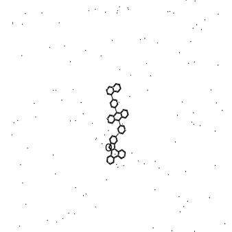 c1cc(-c2ccc3oc4c5ccccc5c5ccccc5c4c3c2)cc(-c2c3ccccc3c(-c3ccc(-c4cccc5ccccc45)cc3)c3ccccc23)c1